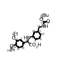 CCOc1cc(C(Nc2cccc(CNC(=O)OC(C)(C)C)c2)C(=O)O)ccc1OC(C)C